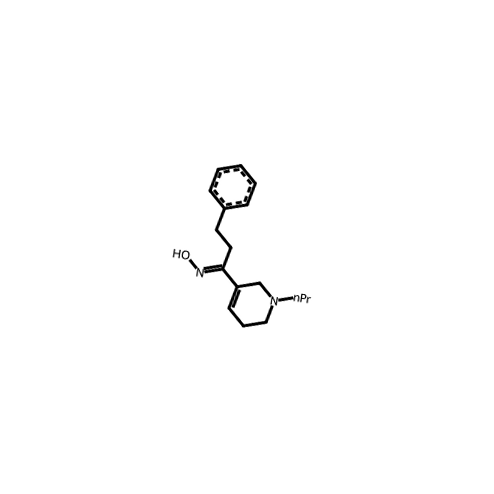 CCCN1CCC=C(C(CCc2ccccc2)=NO)C1